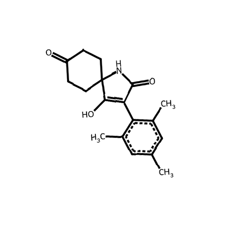 Cc1cc(C)c(C2=C(O)C3(CCC(=O)CC3)NC2=O)c(C)c1